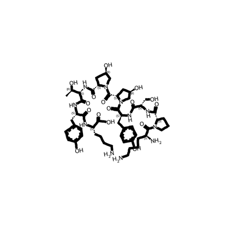 C[C@@H](O)[C@H](NC(=O)[C@@H]1C[C@@H](O)CN1C(=O)[C@@H]1C[C@@H](O)CN1C(=O)[C@H](Cc1ccc(O)cc1)NC(=O)[C@H](CO)NC(=O)[C@@H]1CCCN1C(=O)[C@@H](N)CCCCN)C(=O)N[C@@H](Cc1ccc(O)cc1)C(=O)N[C@@H](CCCCN)C(=O)O